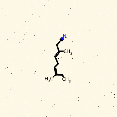 CC/C(C)=C\C/C=C(\C)CC#N